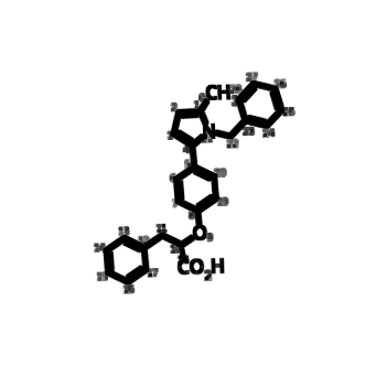 Cc1ccc(-c2ccc(O[C@H](Cc3ccccc3)C(=O)O)cc2)n1Cc1ccccc1